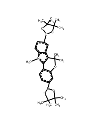 Cn1c2c(c3cc(B4OC(C)(C)C(C)(C)O4)ccc31)C(C)(C)Oc1cc(B3OC(C)(C)C(C)(C)O3)ccc1-2